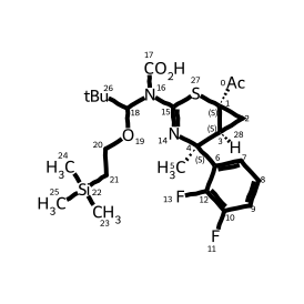 CC(=O)[C@]12C[C@H]1[C@@](C)(c1cccc(F)c1F)N=C(N(C(=O)O)C(OCC[Si](C)(C)C)C(C)(C)C)S2